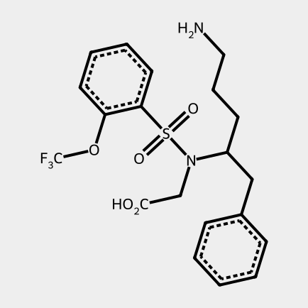 NCCCC(Cc1ccccc1)N(CC(=O)O)S(=O)(=O)c1ccccc1OC(F)(F)F